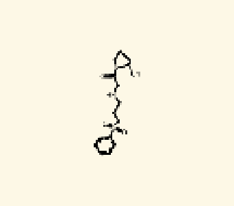 N#C[C@@H]1CCCN1C(=O)CNCCCS(=O)(=O)c1ccccc1